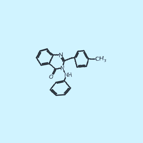 Cc1ccc(-c2nc3ccccc3c(=O)n2Nc2ccccc2)cc1